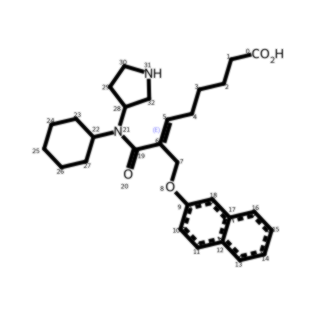 O=C(O)CCCC/C=C(\COc1ccc2ccccc2c1)C(=O)N(C1CCCCC1)C1CCNC1